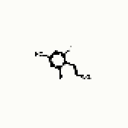 O=[N+]([O-])/C=C/c1c(F)cc(O)cc1F